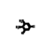 NC1C=C(Cl)C=C(Cl)N1N